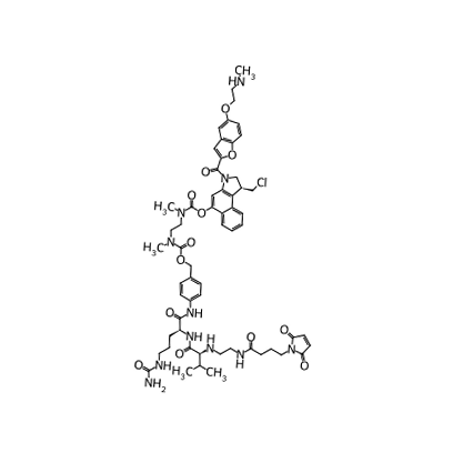 CNCCOc1ccc2oc(C(=O)N3C[C@@H](CCl)c4c3cc(OC(=O)N(C)CCN(C)C(=O)OCc3ccc(NC(=O)[C@H](CCCNC(N)=O)NC(=O)[C@@H](NCCNC(=O)CCCN5C(=O)C=CC5=O)C(C)C)cc3)c3ccccc43)cc2c1